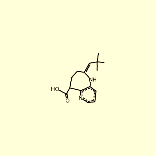 CC(C)(C)C=C1CCC(C(=O)O)c2ncccc2N1